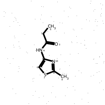 CCC(=O)Nc1csc(C)n1